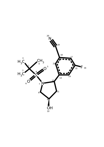 CC(C)(C)S(=O)(=O)N1C[C@H](O)CC1c1cc(F)cc(C#N)c1